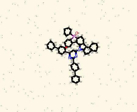 O=P1(c2ccccc2)c2ccccc2-c2c1ccc1c3c4ccccc4ccc3n(-c3cc(-c4ccc(-c5ccccc5)cc4)nc(-c4ccc(-c5ccccc5)cc4)n3)c21